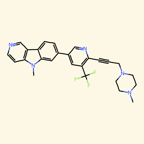 CN1CCN(CC#Cc2ncc(-c3ccc4c5cnccc5n(C)c4c3)cc2C(F)(F)F)CC1